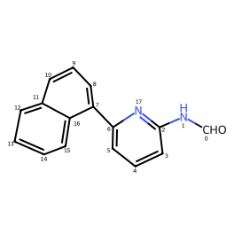 O=CNc1cccc(-c2cccc3ccccc23)n1